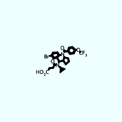 O=C(O)CCC(=O)N(C1CC1)C1c2cc(Br)ccc2N(C(=O)c2ccc(OC(F)(F)F)cc2)C2CCCC21